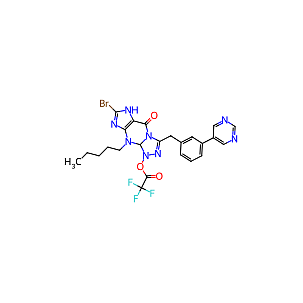 CCCCCN1c2nc(Br)[nH]c2C(=O)N2C(Cc3cccc(-c4cncnc4)c3)=NN(OC(=O)C(F)(F)F)C21